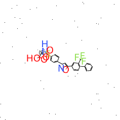 C[C@H](NS(=O)(=O)c1ccc(-c2cc(-c3ccc(-c4ccccc4)c(C(F)(F)F)c3)on2)cc1)C(=O)O